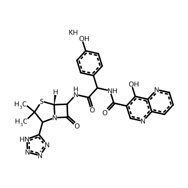 CC1(C)S[C@@H]2C(NC(=O)C(NC(=O)c3cnc4cccnc4c3O)c3ccc(O)cc3)C(=O)N2C1c1nnn[nH]1.[KH]